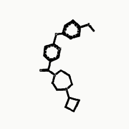 CSc1ccc(Oc2ccc(C(=O)N3CCCN(C4CCC4)CC3)cn2)cc1